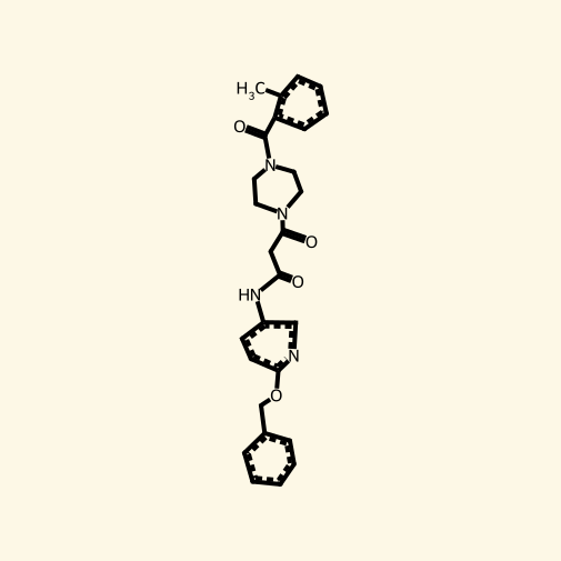 Cc1ccccc1C(=O)N1CCN(C(=O)CC(=O)Nc2ccc(OCc3ccccc3)nc2)CC1